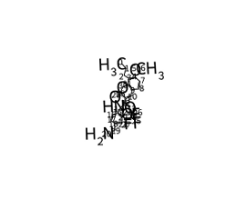 CCCc1c(OC)ccc2cc(C(=O)Nc3ccc(CN)cc3OC(F)(F)F)c(=O)oc12